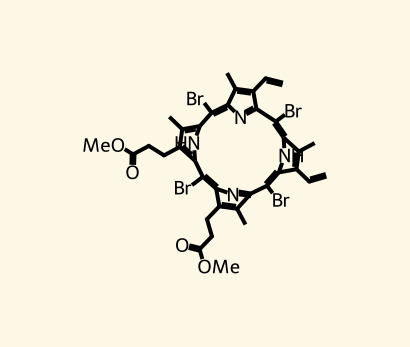 C=CC1=C(C)c2nc1c(Br)c1[nH]c(c(Br)c3nc(c(Br)c4[nH]c(c(C)c4CCC(=O)OC)c2Br)C(CCC(=O)OC)=C3C)c(C=C)c1C